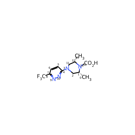 C[C@@H]1CN(c2ccc(C(F)(F)F)nn2)C[C@H](C)N1C(=O)O